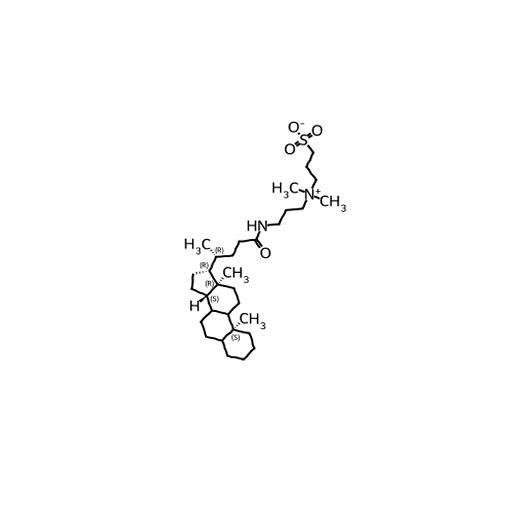 C[C@H](CCC(=O)NCCC[N+](C)(C)CCCS(=O)(=O)[O-])[C@H]1CC[C@H]2C3CCC4CCCC[C@]4(C)C3CC[C@]12C